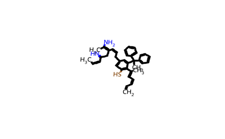 C=C/C=C\C=C(/C)c1c(S)cc(C/C=C\C(CC(=N)/C=C\C)=C(\C)N)cc1C(C)(c1ccccc1)c1ccccc1